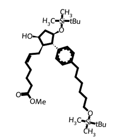 COC(=O)CCC/C=C\C[C@@H]1[C@@H](c2ccc(CCCCCCO[Si](C)(C)C(C)(C)C)cc2)[C@H](O[Si](C)(C)C(C)(C)C)C[C@@H]1O